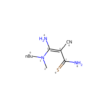 CCCCN(C)C(N)=C(C#N)C(N)=S